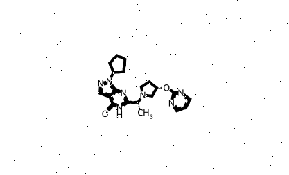 C[C@H](c1nc2c(cnn2C2CCCC2)c(=O)[nH]1)N1CC[C@H](Oc2ncccn2)C1